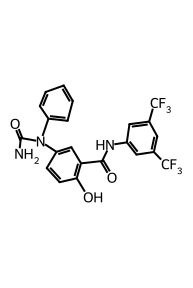 NC(=O)N(c1ccccc1)c1ccc(O)c(C(=O)Nc2cc(C(F)(F)F)cc(C(F)(F)F)c2)c1